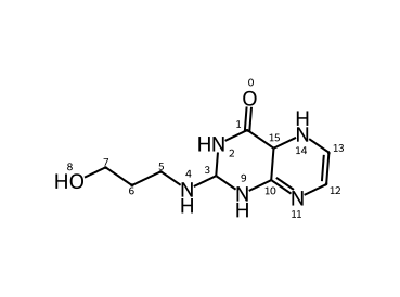 O=C1NC(NCCCO)NC2=NC=CNC12